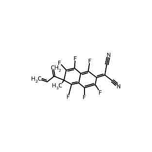 C=CC(=C)C1(C)C(F)=C(F)c2c(F)c(=C(C#N)C#N)c(F)c(F)c2=C1F